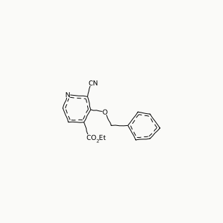 CCOC(=O)c1ccnc(C#N)c1OCc1ccccc1